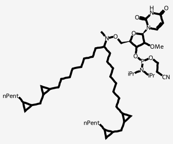 CCCCCC1CC1CC1CC1CCCCCCCCC(CCCCCCCCC1CC1CC1CC1CCCCC)N(C)OC[C@H]1O[C@@H](n2ccc(=O)[nH]c2=O)C(OC)C1OP(OCCC#N)N(C(C)C)C(C)C